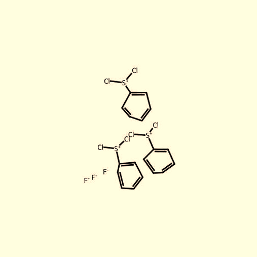 Cl[S+](Cl)c1ccccc1.Cl[S+](Cl)c1ccccc1.Cl[S+](Cl)c1ccccc1.[F-].[F-].[F-]